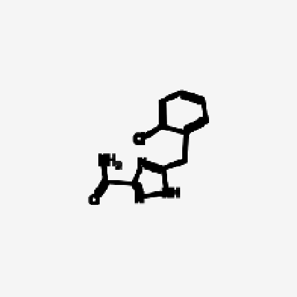 NC(=O)c1n[nH]c(Cc2ccccc2Cl)n1